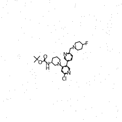 CC(C)(C)OC(=O)N[C@H]1CCCN(c2cc(Cl)ncc2-c2ccc(CN3CCC(F)CC3)nc2)C1